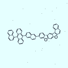 c1ccc2c(-c3c4ccccc4c(-c4ccc5cc(-c6ccc7c(c6)oc6cc8oc9ccc%10ccccc%10c9c8cc67)ccc5c4)c4ccccc34)cccc2c1